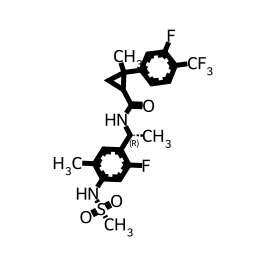 Cc1cc([C@@H](C)NC(=O)C2CC2(C)c2ccc(C(F)(F)F)c(F)c2)c(F)cc1NS(C)(=O)=O